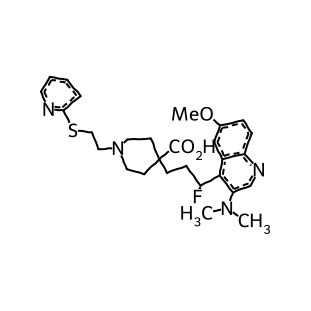 COc1ccc2ncc(N(C)C)c([C@H](F)CCC3(C(=O)O)CCN(CCSc4ccccn4)CC3)c2c1